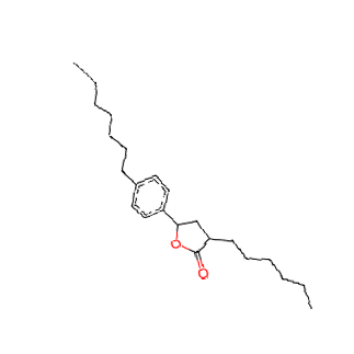 CCCCCCCc1ccc(C2CC(CCCCCC)C(=O)O2)cc1